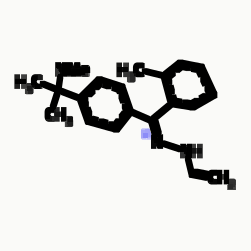 C=CN/N=C(/c1ccc(C(C)(C)NC)cc1)c1ccccc1C